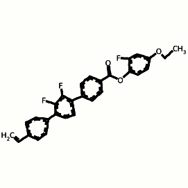 C=Cc1ccc(-c2ccc(-c3ccc(C(=O)Oc4ccc(OCC)cc4F)cc3)c(F)c2F)cc1